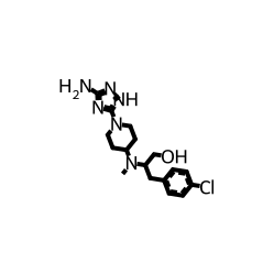 CN(C1CCN(c2nc(N)n[nH]2)CC1)C(CO)Cc1ccc(Cl)cc1